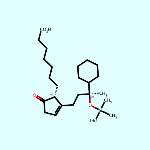 CC(C)(C)[Si](C)(C)O[C@@](C)(CCC1=CCC(=O)[C@@H]1CCCCCCC(=O)O)C1CCCCC1